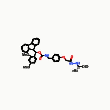 CCCC[C@@H]([C]=O)NNC(=O)COc1ccc(CNC(=O)OC(c2ccc(OC)cc2OC)C2c3ccccc3-c3ccccc32)cc1